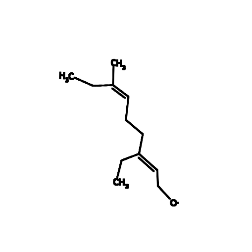 CC/C(C)=C\CC/C(=C/C[O])CC